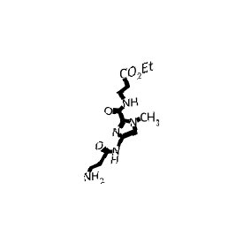 CCOC(=O)CCNC(=O)c1nc(NC(=O)CCN)cn1C